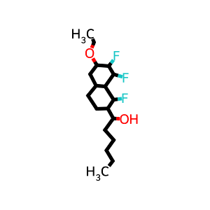 CCCCCC(O)C1CCC2CC(OCC)C(F)C(F)C2C1F